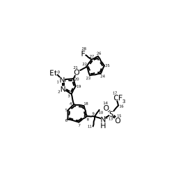 CCn1nc(-c2cccc(C(C)(C)NS(=O)(=O)CC(F)(F)F)c2)cc1Oc1ccccc1F